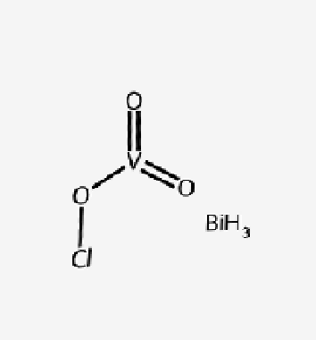 [BiH3].[O]=[V](=[O])[O]Cl